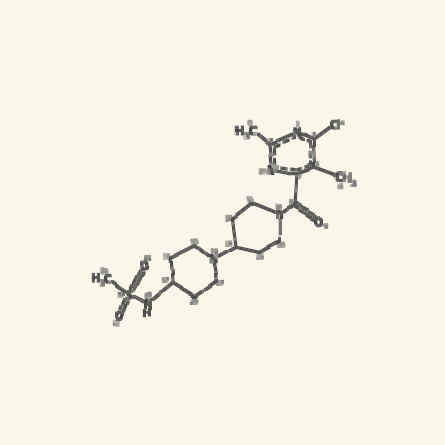 Cc1nc(Cl)c(C)c(C(=O)N2CCC(N3CCC(NS(C)(=O)=O)CC3)CC2)n1